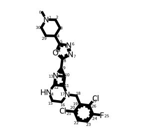 CN1CCC(c2nnc(-c3c4c5c(n3-4)NCCN5Cc3c(Cl)ccc(F)c3Cl)o2)CC1